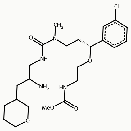 COC(=O)NCCO[C@H](CCN(C)C(=O)NCC(N)CC1CCCOC1)c1cccc(Cl)c1